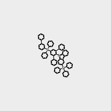 c1ccc(-c2cccc([Si](c3ccccc3)(c3ccccc3)c3cc(-c4ccccc4)c(-n4c5ccccc5c5cc([Si](c6ccccc6)(c6ccccc6)c6ccccc6)ccc54)c(-c4ccccc4)c3)c2)cc1